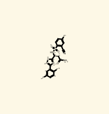 N#Cc1cc(F)ccc1S(=O)(=O)N[C@@H](CC(N)=O)c1nc(-c2cc(F)ccc2F)no1